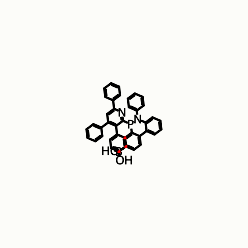 OB(O)c1ccc2c(c1)P(c1nc(-c3ccccc3)cc(-c3ccccc3)c1-c1ccccc1)N(c1ccccc1)c1ccccc1-2